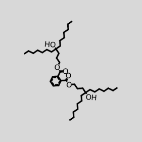 CCCCCCCC(O)(CCCCCCC)CCCOC(=O)c1ccccc1C(=O)OCCCC(O)(CCCCCCC)CCCCCCC